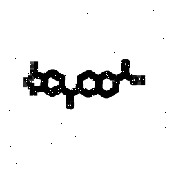 O=C(O)N1CCC2=C(CCN(C(=O)c3ccc4[nH]nnc4c3)C2)C1